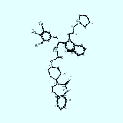 O=C(N[C@H](Cc1cc(Br)c(O)c(Br)c1)c1nc2ccccc2n1CCCN1CCCC1)ON1CCC(N2CCc3ccccc3NC2=O)CC1